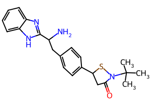 CC(C)(C)N1SC(c2ccc(CC(N)c3nc4ccccc4[nH]3)cc2)CC1=O